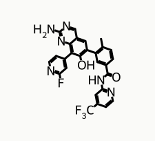 Cc1ccc(C(=O)Nc2cc(C(F)(F)F)ccn2)cc1-c1cc2cnc(N)nc2c(-c2ccnc(F)c2)c1O